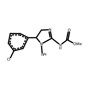 CCCN1C(NC(=O)OC)=NCC1c1cccc(Cl)c1